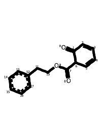 O=C1C=CC=CC1C(=O)OCCc1ccccc1